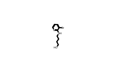 OCCCCNc1ncccc1Br